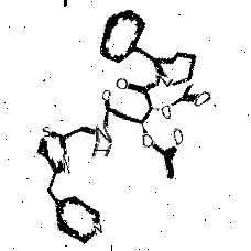 CC(=O)O[C@@H](C(=O)NCc1nc(Cc2ccncc2)cs1)[C@@H](OC(C)=O)C(=O)N1CCCC1c1ccccc1